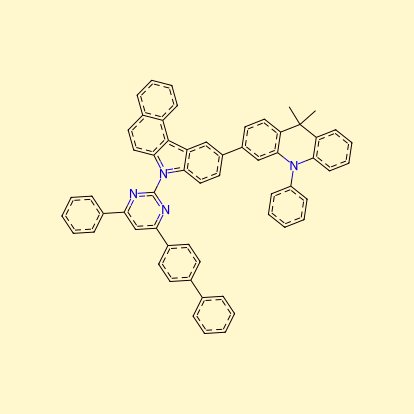 CC1(C)c2ccccc2N(c2ccccc2)c2cc(-c3ccc4c(c3)c3c5ccccc5ccc3n4-c3nc(-c4ccccc4)cc(-c4ccc(-c5ccccc5)cc4)n3)ccc21